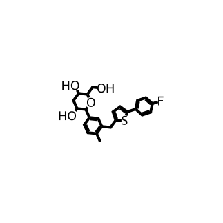 Cc1ccc(C2OC(CO)C(O)CC2O)cc1Cc1ccc(-c2ccc(F)cc2)s1